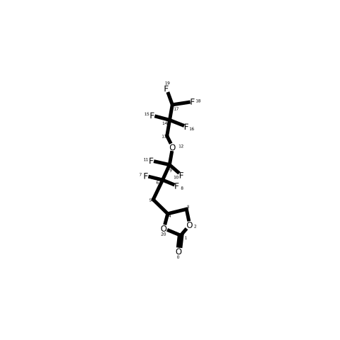 O=C1OCC(CC(F)(F)C(F)(F)OCC(F)(F)C(F)F)O1